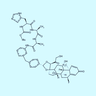 C[C@H](NC(=O)[C@H](C)NC(=O)[C@H](Cc1cnc[nH]1)NC(=O)OC(C)(C)C)C(=O)Nc1cccc(Cc2ccc([C@@H]3O[C@@H](C(=O)CO)[C@]4(CC[C@H]5[C@@H]6C[C@H](F)C7=CC(=O)C=C[C@]7(C)[C@@]6(F)[C@@H](O)C[C@@]54C)O3)cc2)c1